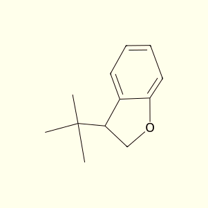 CC(C)(C)C1COc2ccccc21